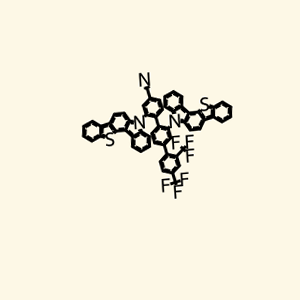 N#Cc1ccc(-c2ccc(-c3ccc(C(F)(F)F)cc3C(F)(F)F)cc2-n2c3ccccc3c3c4sc5ccccc5c4ccc32)c(-n2c3ccccc3c3c4sc5ccccc5c4ccc32)c1